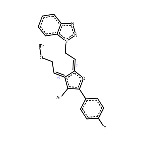 CC(=O)c1c(-c2ccc(F)cc2)oc(=C/Cn2nnc3ccccc32)/c1=C\COC(C)C